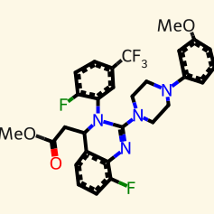 COC(=O)CC1c2cccc(F)c2N=C(N2CCN(c3cccc(OC)c3)CC2)N1c1cc(C(F)(F)F)ccc1F